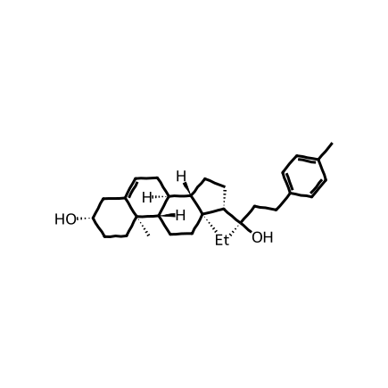 CC[C@@](O)(CCc1ccc(C)cc1)[C@H]1CC[C@H]2[C@@H]3CC=C4C[C@@H](O)CC[C@]4(C)[C@H]3CC[C@]12C